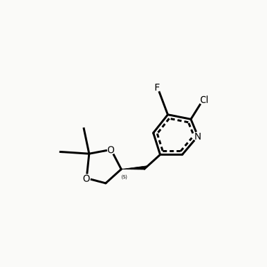 CC1(C)OC[C@H](Cc2cnc(Cl)c(F)c2)O1